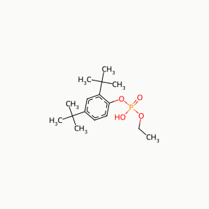 CCOP(=O)(O)Oc1ccc(C(C)(C)C)cc1C(C)(C)C